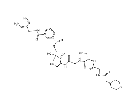 CC(C)C[C@H](NC(=O)CNC(=O)CN1CCOCC1)C(=O)NCC(=O)N[C@@H](CC(C)C)C(=O)C(C)(O)COS(=O)c1cccc(C(=O)NC/C(=C/N)N=N)c1